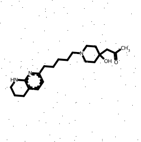 CC(=O)CC1(O)CCN(CCCCCc2ccc3c(n2)NCCC3)CC1